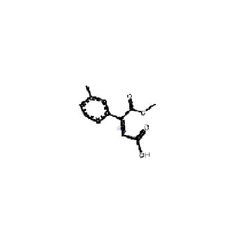 COC(=O)/C(=C\C(=O)O)c1cccc(C)c1